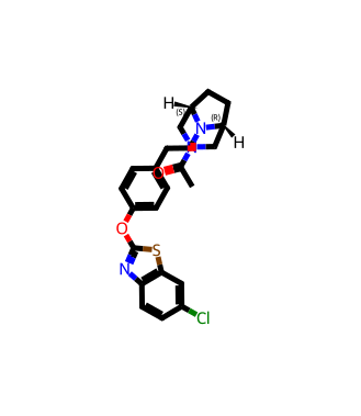 CC(=O)N1C[C@H]2CC[C@@H](C1)N2CCc1ccc(Oc2nc3ccc(Cl)cc3s2)cc1